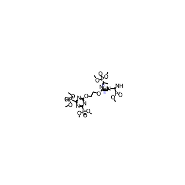 CO[P+](=O)C(=N)N/C=C(\N=C(/C)P(=O)(OC)OC)OCCOc1nc(P(=O)(OC)OC)nc([PH]([O-])(OC)OC)n1